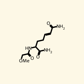 COCC(=O)NC(CCC=CC(N)=O)C(N)=O